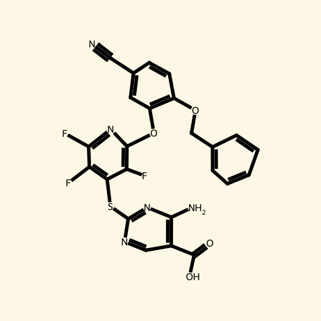 N#Cc1ccc(OCc2ccccc2)c(Oc2nc(F)c(F)c(Sc3ncc(C(=O)O)c(N)n3)c2F)c1